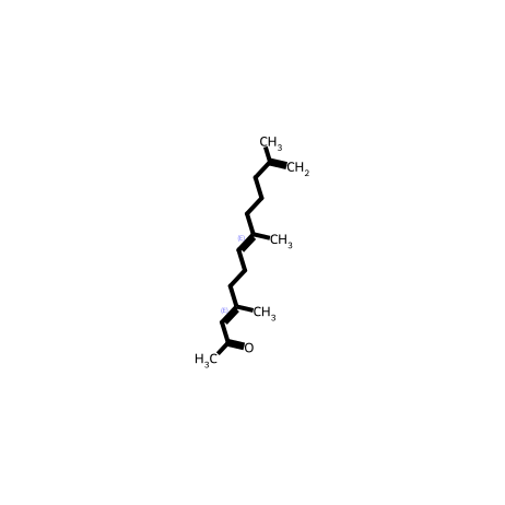 C=C(C)CCC/C(C)=C/CC/C(C)=C/C(C)=O